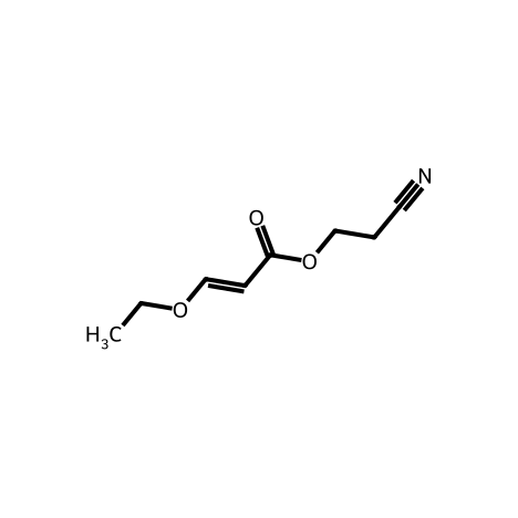 CCOC=CC(=O)OCCC#N